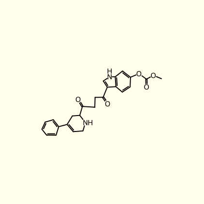 COC(=O)Oc1ccc2c(C(=O)CCC(=O)C3CC(c4ccccc4)=CCN3)c[nH]c2c1